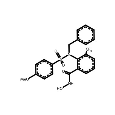 COc1ccc(S(=O)(=O)N(Cc2ccccc2)c2c(C(=O)NO)cccc2C(F)(F)F)cc1